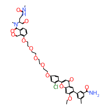 CCOc1cc2oc(-c3ccc(OCCOCCOCCOCCOc4cccc(C(=O)N(C)C(C=O)CCC(=O)NC)c4C=O)cc3Cl)cc(=O)c2cc1-c1cc(C)cc(C(N)=O)c1